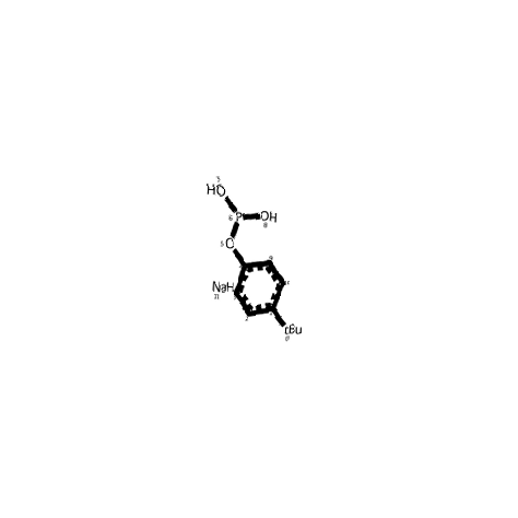 CC(C)(C)c1ccc(OP(O)O)cc1.[NaH]